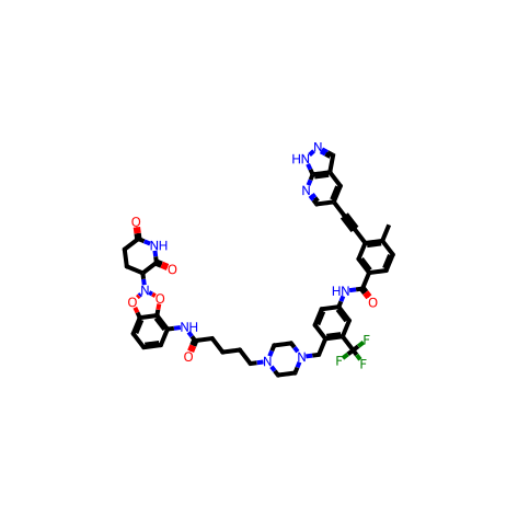 Cc1ccc(C(=O)Nc2ccc(CN3CCN(CCCCC(=O)Nc4cccc5c4ON(C4CCC(=O)NC4=O)O5)CC3)c(C(F)(F)F)c2)cc1C#Cc1cnc2[nH]ncc2c1